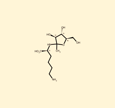 CC1(N[C@@H](CCCCN)C(=O)O)O[C@H](CO)[C@@H](O)[C@@H]1O